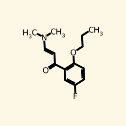 CCCOc1ccc(F)cc1C(=O)/C=C/N(C)C